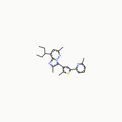 CCC(CC)c1cc(C)nn2c(-c3cc(-c4cccc(C)n4)sc3C)c(C)nc12